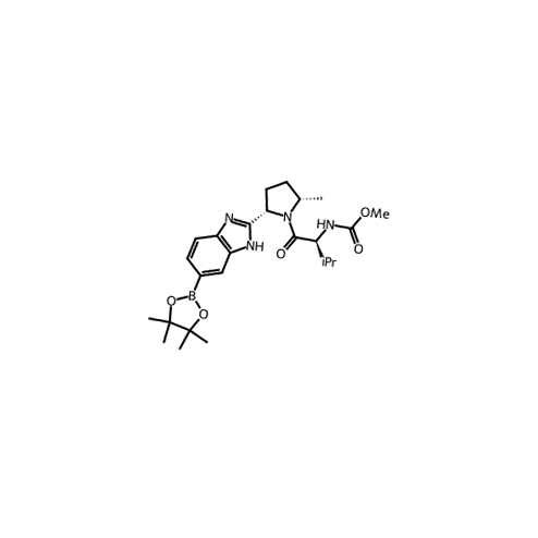 COC(=O)N[C@H](C(=O)N1[C@@H](C)CC[C@H]1c1nc2ccc(B3OC(C)(C)C(C)(C)O3)cc2[nH]1)C(C)C